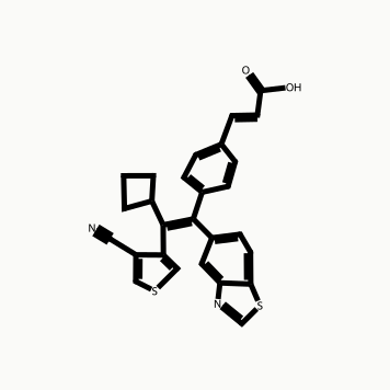 N#Cc1cscc1C(=C(c1ccc(C=CC(=O)O)cc1)c1ccc2scnc2c1)C1CCC1